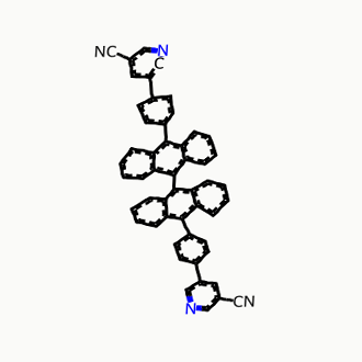 N#Cc1cncc(-c2ccc(-c3c4ccccc4c(-c4c5ccccc5c(-c5ccc(-c6cncc(C#N)c6)cc5)c5ccccc45)c4ccccc34)cc2)c1